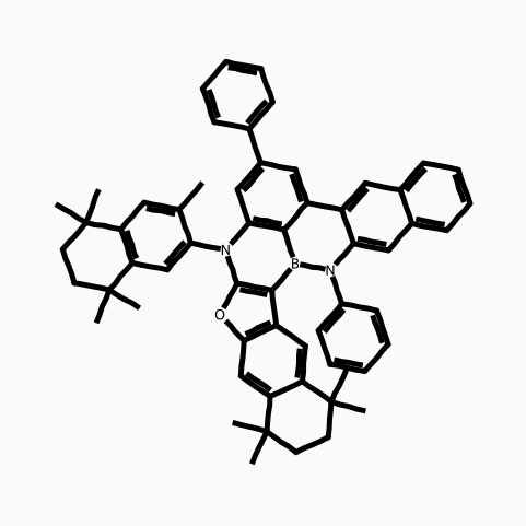 Cc1cc2c(cc1N1c3cc(-c4ccccc4)cc4c3B(c3c1oc1cc5c(cc31)C(C)(C)CCC5(C)C)N(c1ccccc1)c1cc3ccccc3cc1-4)C(C)(C)CCC2(C)C